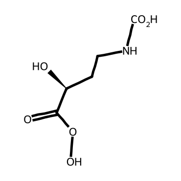 O=C(O)NCC[C@H](O)C(=O)OO